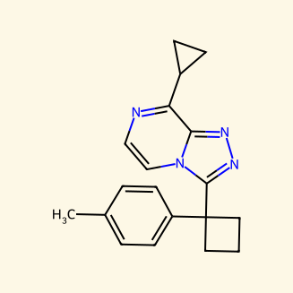 Cc1ccc(C2(c3nnc4c(C5CC5)nccn34)CCC2)cc1